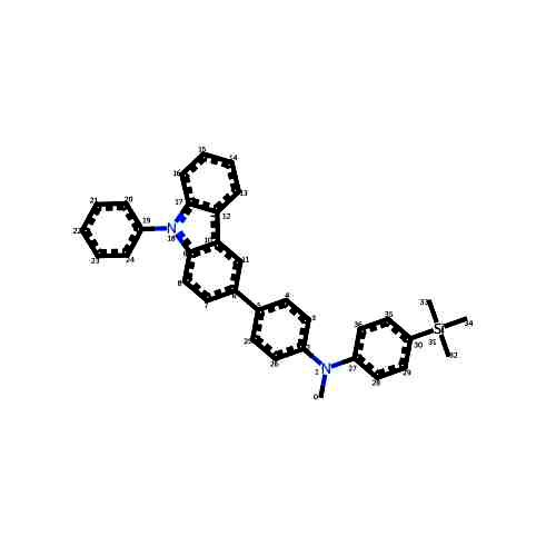 CN(c1ccc(-c2ccc3c(c2)c2ccccc2n3-c2ccccc2)cc1)c1ccc([Si](C)(C)C)cc1